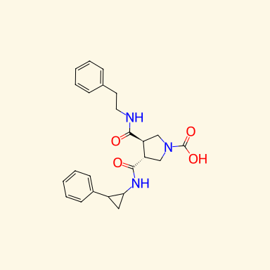 O=C(NCCc1ccccc1)[C@H]1CN(C(=O)O)C[C@@H]1C(=O)NC1CC1c1ccccc1